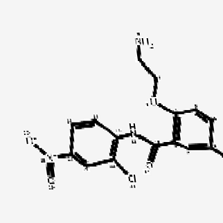 NCCOc1ccc(Cl)cc1C(=O)Nc1ccc([N+](=O)[O-])cc1Cl